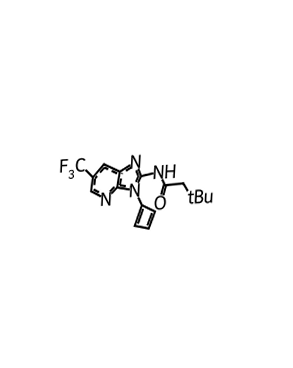 CC(C)(C)CC(=O)Nc1nc2cc(C(F)(F)F)cnc2n1C1=CC=C1